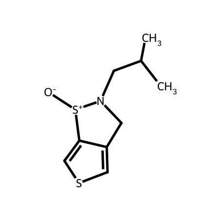 CC(C)CN1Cc2cscc2[S+]1[O-]